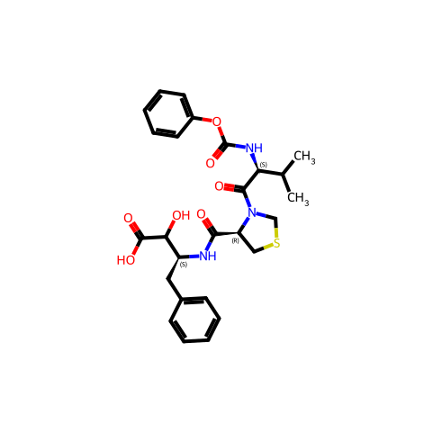 CC(C)[C@H](NC(=O)Oc1ccccc1)C(=O)N1CSC[C@H]1C(=O)N[C@@H](Cc1ccccc1)C(O)C(=O)O